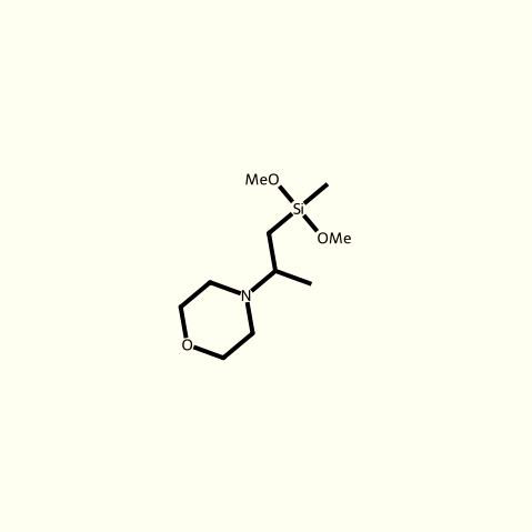 CO[Si](C)(CC(C)N1CCOCC1)OC